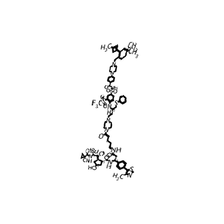 Cc1ncsc1-c1ccc([C@H](CC(=O)NCCCCC(=O)N2CCN(CC[C@H](CSc3ccccc3)Nc3ccc(S(=O)(=O)NC(=O)c4ccc(N5CCN(CC6=C(C78CC(C)(C7)C8)CC(C)(C)CC6)CC5)cc4)cc3S(=O)(=O)C(F)(F)F)CC2)NC(=O)[C@@H]2C[C@@H](O)CC2C(=O)[C@@H](NC(=O)C2(C#N)CC2)C(C)(C)C)cc1